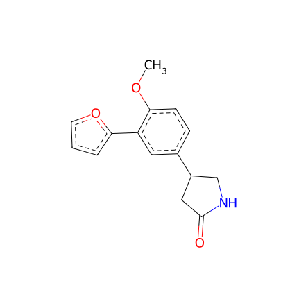 COc1ccc(C2CNC(=O)C2)cc1-c1ccco1